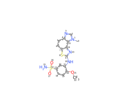 Cn1cnc2ccc3sc(Nc4cc(S(N)(=O)=O)ccc4OC(F)(F)F)nc3c21